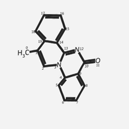 Cc1cn2c3ccccc3c(=O)nc2c2ccccc12